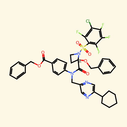 O=C(OCc1ccccc1)c1ccc(N(Cc2cnc(C3CCCCC3)cn2)C(=O)[C@]2(OCc3ccccc3)CCN2S(=O)(=O)c2c(F)c(F)c(F)c(Cl)c2F)cc1